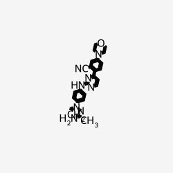 C=CN(/N=C(/C)N)c1ccc(Nc2nccc(-c3ccc(N4CCOCC4)cc3C#N)n2)cc1